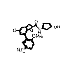 COc1ccc(C#N)cc1-c1cc(Cl)cc2cc(C(=O)N[C@@H]3CC[C@H](O)C3)oc12